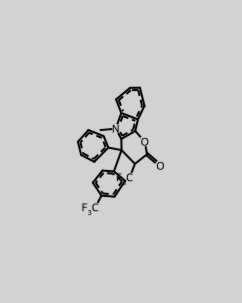 Cn1c2c(c3ccccc31)OC(=O)C(C(F)(F)F)C2(c1ccccc1)c1ccc(C(F)(F)F)cc1